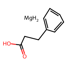 O=C(O)CCc1ccccc1.[MgH2]